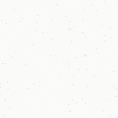 CCCC(=O)NC(=N)SC(=N)N1CCN(C(C)c2ccc3c(c2)OCO3)CC1